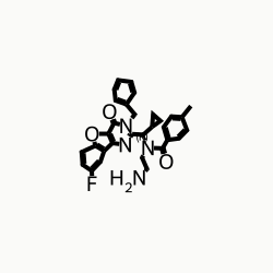 Cc1ccc(C(=O)N(CCN)[C@@H](c2nc3c(oc4ccc(F)cc43)c(=O)n2Cc2ccccc2)C2CC2)cc1